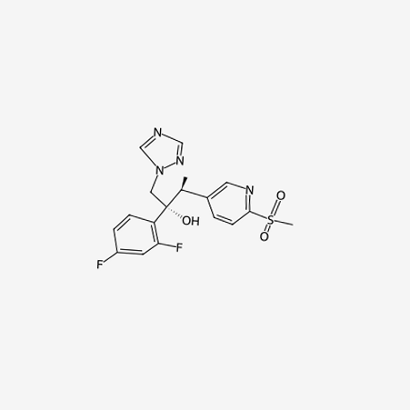 C[C@@H](c1ccc(S(C)(=O)=O)nc1)[C@](O)(Cn1cncn1)c1ccc(F)cc1F